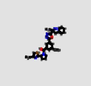 COc1cc(C(=O)N2CCCC2c2nc(C)cs2)cc(-c2nnc(C(C)(N)Cc3ccccc3)o2)c1